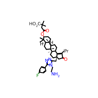 CC(C)C1=C2C3CC[C@@H]4[C@@]5(C)CC[C@H](OC(=O)CC(C)(C)C(=O)O)C(C)(C)[C@@H]5CC[C@@]4(C)[C@]3(C)CC[C@@]2(Cc2nnc(-c3ccc(F)cc3)n2CCN)CC1=O